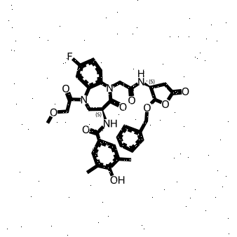 COCC(=O)N1C[C@H](NC(=O)c2cc(C)c(O)c(C)c2)C(=O)N(CC(=O)N[C@H]2CC(=O)OC2OCc2ccccc2)c2ccc(F)cc21